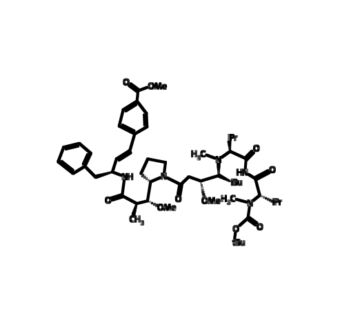 CC[C@H](C)[C@@H]([C@@H](CC(=O)N1CCC[C@H]1[C@H](OC)[C@@H](C)C(=O)N[C@H](/C=C/c1ccc(C(=O)OC)cc1)Cc1ccccc1)OC)N(C)[C@H](C(=O)NC(=O)[C@H](C(C)C)N(C)C(=O)OC(C)(C)C)C(C)C